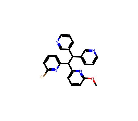 COc1cccc(C(c2cccc(Br)n2)C(c2cccnc2)c2cccnc2)n1